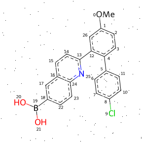 COc1ccc(-c2ccc(Cl)cc2)c(-c2ccc3cc(B(O)O)ccc3n2)c1